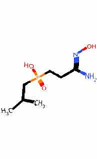 CC(C)CP(=O)(O)CCC(N)=NO